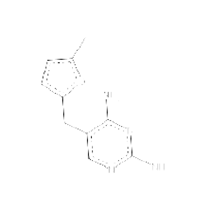 Cc1ccc(Cc2cnc(N)nc2N)o1